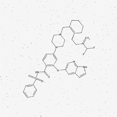 C=C(CCC1=C(CN2CCN(c3ccc(C(=O)NS(=O)(=O)c4ccccc4)c(Oc4cnc5[nH]ccc5c4)c3)CC2)CCCC1)C(F)F